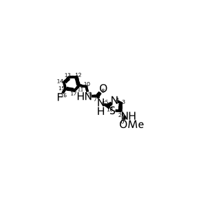 CONc1cnc(NC(=O)NCc2cccc(F)c2)s1